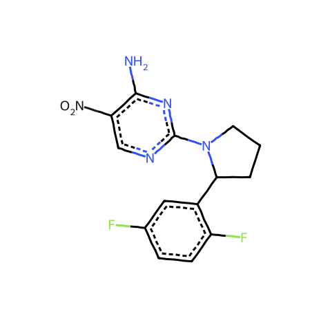 Nc1nc(N2CCCC2c2cc(F)ccc2F)ncc1[N+](=O)[O-]